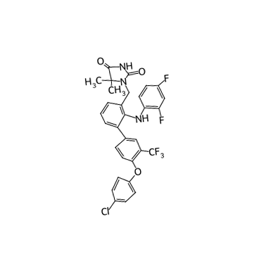 CC1(C)C(=O)NC(=O)N1Cc1cccc(-c2ccc(Oc3ccc(Cl)cc3)c(C(F)(F)F)c2)c1Nc1ccc(F)cc1F